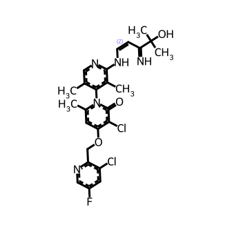 Cc1cnc(N/C=C\C(=N)C(C)(C)O)c(C)c1-n1c(C)cc(OCc2ncc(F)cc2Cl)c(Cl)c1=O